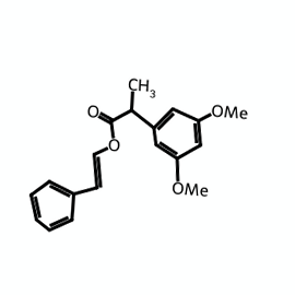 COc1cc(OC)cc(C(C)C(=O)OC=Cc2ccccc2)c1